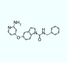 Nc1cc(Oc2ccc3c(ccn3C(=O)NCc3ccccc3)c2)ccn1